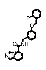 O=C(NCc1cccc(OCc2ccccc2F)c1)c1cccc2cncn12